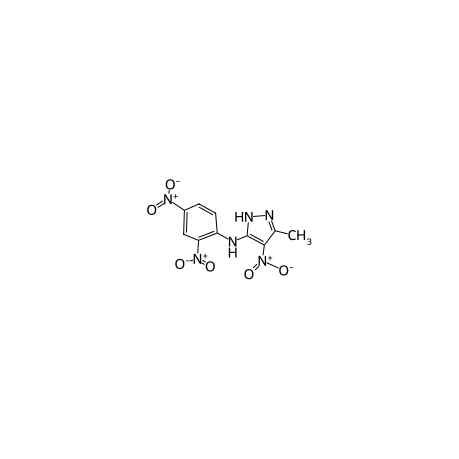 Cc1n[nH]c(Nc2ccc([N+](=O)[O-])cc2[N+](=O)[O-])c1[N+](=O)[O-]